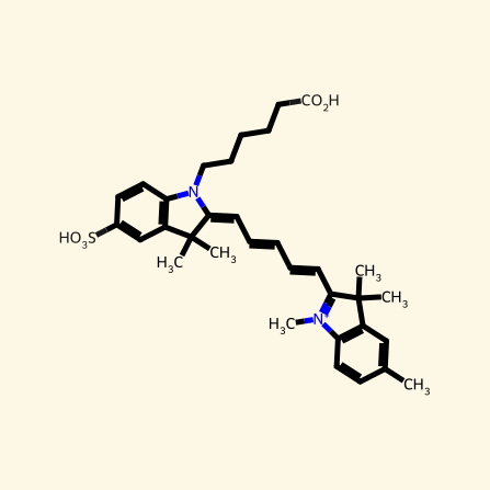 Cc1ccc2c(c1)C(C)(C)C(/C=C/C=C/C=C1/N(CCCCCC(=O)O)c3ccc(S(=O)(=O)O)cc3C1(C)C)=[N+]2C